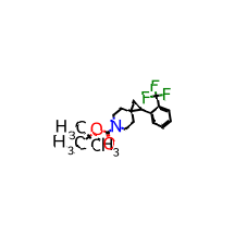 CC(C)(C)OC(=O)N1CCC2(CC1)CC2c1ccccc1C(F)(F)F